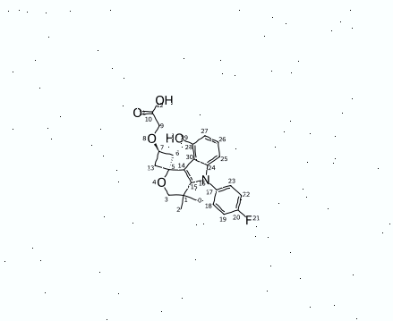 CC1(C)CO[C@]2(C[C@H](OCC(=O)O)C2)c2c1n(-c1ccc(F)cc1)c1cccc(O)c12